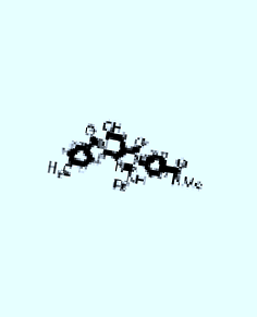 CNC(=O)c1ccc(-n2c(NC(C)C)nc3c(c2=O)C[C@@H](C)N(C(=O)c2ccc(C)cc2)C3)cc1